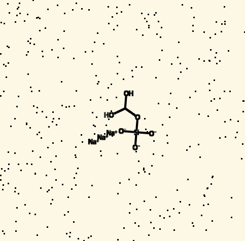 [Na+].[Na+].[Na+].[O-][Si]([O-])([O-])OC(O)O